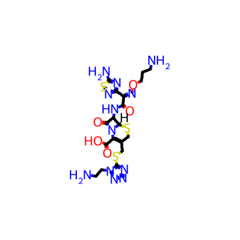 NCCCO/N=C(/C(=O)NC1C(=O)N2C(C(=O)O)=C(CSc3nnnn3CCN)CS[C@H]12)c1nsc(N)n1